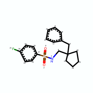 O=S(=O)(NCC1(Cc2ccccc2)CCCC1)c1ccc(F)cc1